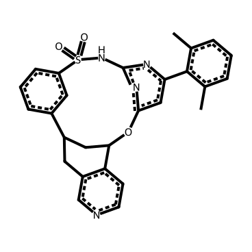 Cc1cccc(C)c1-c1cc2nc(n1)NS(=O)(=O)c1cccc(c1)C1Cc3cnccc3C(C1)O2